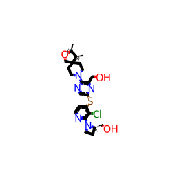 C[C@@H]1OCC2(CCN(c3ncc(Sc4ccnc(N5CC[C@H]5CO)c4Cl)nc3CO)CC2)[C@@H]1C